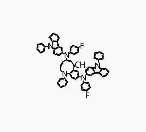 C=C1/C=C(N(c2ccc(F)cc2)c2ccc3c(c2)c2ccccc2n3-c2ccccc2)\C=C/CN(c2ccccc2)c2ccc(N(c3ccc(F)cc3)c3ccc4c(c3)c3ccccc3n4-c3ccccc3)cc21